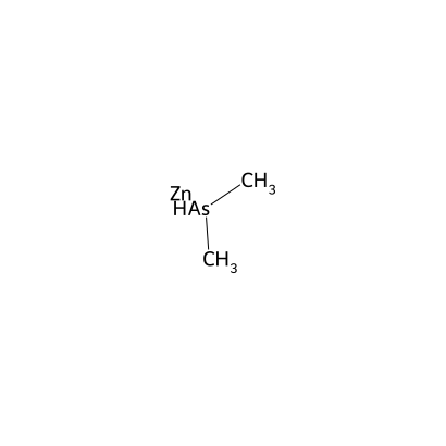 C[AsH]C.[Zn]